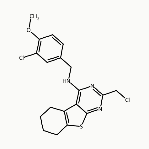 COc1ccc(CNc2nc(CCl)nc3sc4c(c23)CCCC4)cc1Cl